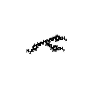 CC1CCC(COCCCN(CCCOCC2CCC(C)CC2)CCCOCC2CCC(C)CC2)CC1